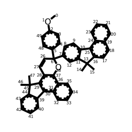 COc1ccc(C2(c3ccc4c(c3)C(C)(C)c3ccc5ccccc5c3-4)C=Cc3c4c(c5ccccc5c3O2)-c2ccccc2C4(C)C)cc1